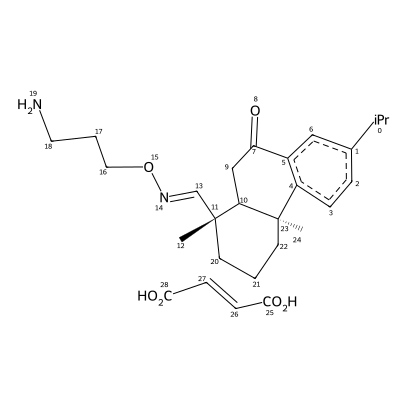 CC(C)c1ccc2c(c1)C(=O)CC1[C@@](C)(/C=N/OCCCN)CCC[C@]21C.O=C(O)/C=C/C(=O)O